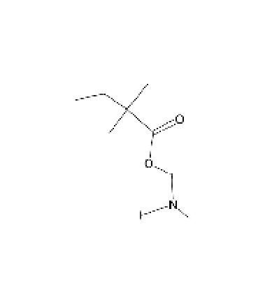 CCC(C)(C)C(=O)OCN(C)I